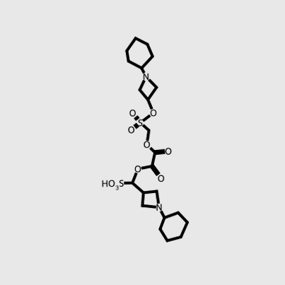 O=C(OCS(=O)(=O)OC1CN(C2CCCCC2)C1)C(=O)OC(C1CN(C2CCCCC2)C1)S(=O)(=O)O